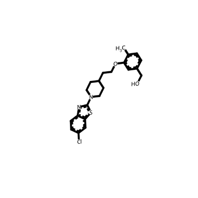 Cc1ccc(CO)cc1OCCC1CCN(c2nc3ccc(Cl)cc3s2)CC1